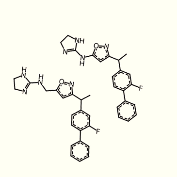 CC(c1ccc(-c2ccccc2)c(F)c1)c1cc(CNC2=NCCN2)on1.CC(c1ccc(-c2ccccc2)c(F)c1)c1cc(NC2=NCCN2)on1